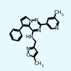 Cc1cncc(-c2nc(NCc3cc(C)on3)c3c(-c4ccccc4)ccn3n2)c1